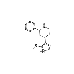 CSc1[nH]ccc1C1CCNC(c2ccccc2)C1